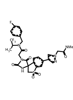 CNC(=O)Cn1cc(-c2ccc3c(c2)S(=O)(=O)CC32NC(=O)N(CC(=O)N(Cc3ccc(F)cc3)C(C)C(F)(F)F)C2=O)cn1